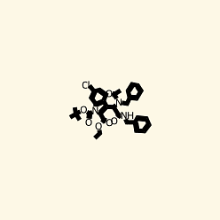 CCOC(=O)c1c(C(C(=O)NCc2ccccc2)N(Cc2ccccc2)C(C)=O)c2ccc(Cl)cc2n1C(=O)OC(C)(C)C